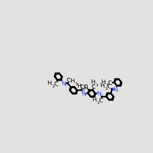 C/C(=N\c1ccccc1C)c1cccc(/C(C)=N/c2ccc(/N=C(\C)c3cccc(/C(C)=N/c4ccccc4C)c3)c(C)c2C)c1